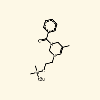 CC1=CN(CCO[Si](C)(C)C(C)(C)C)CN(C(=O)c2ccccc2)C1